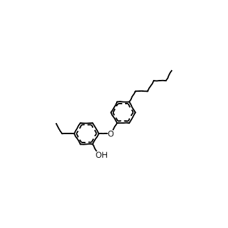 CCCCCc1ccc(Oc2ccc(CC)cc2O)cc1